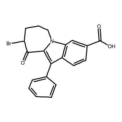 O=C(O)c1ccc2c(-c3ccccc3)c3n(c2c1)CCCC(Br)C3=O